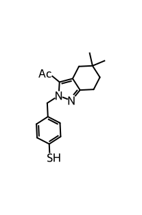 CC(=O)c1c2c(nn1Cc1ccc(S)cc1)CCC(C)(C)C2